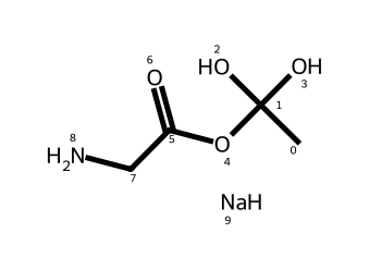 CC(O)(O)OC(=O)CN.[NaH]